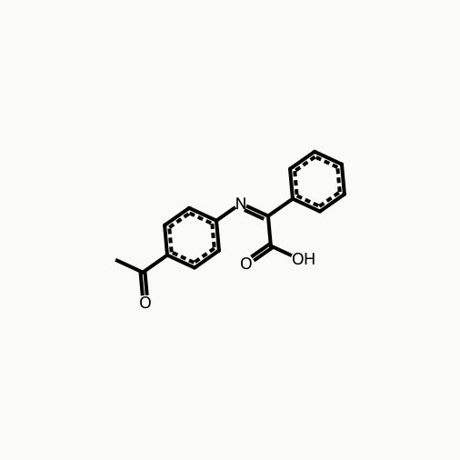 CC(=O)c1ccc(N=C(C(=O)O)c2ccccc2)cc1